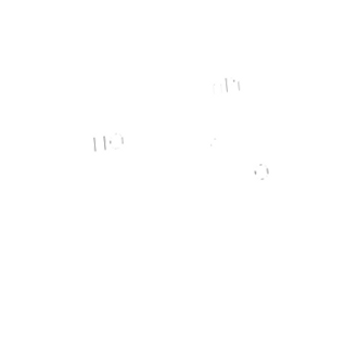 [CH2]CCC(=O)C(O)=CC